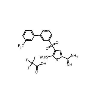 CSc1sc(C(=N)N)cc1S(=O)(=O)c1cccc(-c2cccc(C(F)(F)F)c2)c1.O=C(O)C(F)(F)F